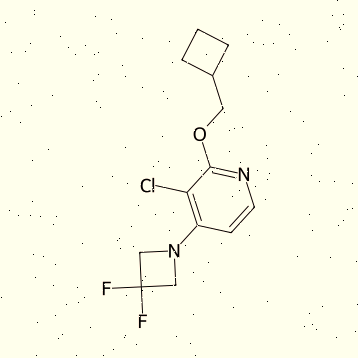 FC1(F)CN(c2ccnc(OCC3CCC3)c2Cl)C1